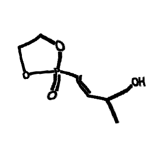 CC(O)C=CP1(=O)OCCO1